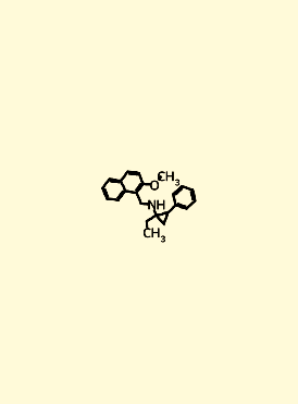 CCC1(NCc2c(OC)ccc3ccccc23)CC1c1ccccc1